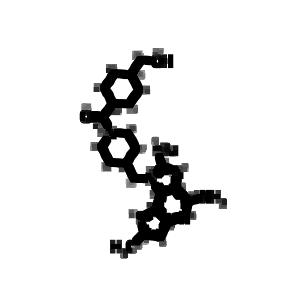 CCCCc1nc2c(N)nc3cc(C)sc3c2n1CC1CCN(C(=O)C2CCC(CO)CC2)CC1